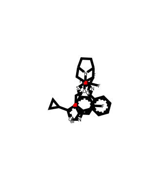 Fc1cc(Br)cc2sc(N3C4CCC3CC(OCc3c(-c5ccccc5OC(F)(F)F)noc3C3CC3)C4)nc12